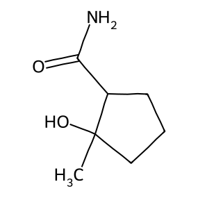 CC1(O)CCCC1C(N)=O